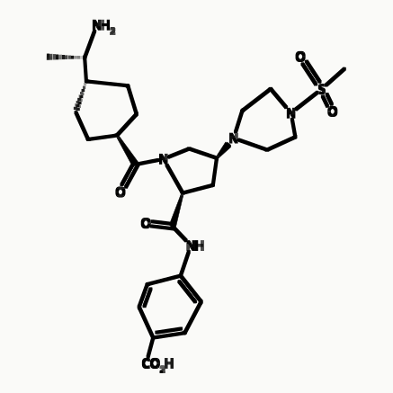 C[C@H](N)[C@H]1CC[C@H](C(=O)N2C[C@@H](N3CCN(S(C)(=O)=O)CC3)C[C@H]2C(=O)Nc2ccc(C(=O)O)cc2)CC1